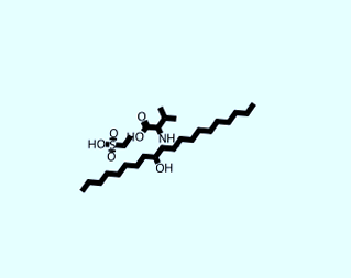 CC(C)C(N)C(=O)O.CCCCCCCCCCCC(O)CCCCCCCC.CCS(=O)(=O)O